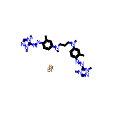 Cc1cc(N(C)CCCN(C)c2ccc(/N=N/c3n(C)nc[n+]3C)c(C)c2)ccc1/N=N/c1n(C)nc[n+]1C.[Br-].[Br-]